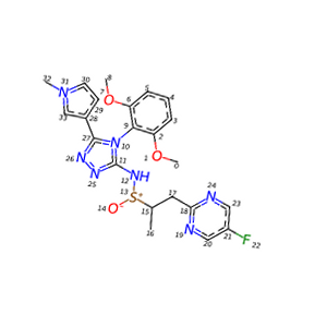 COc1cccc(OC)c1-n1c(N[S+]([O-])C(C)Cc2ncc(F)cn2)nnc1-c1ccn(C)c1